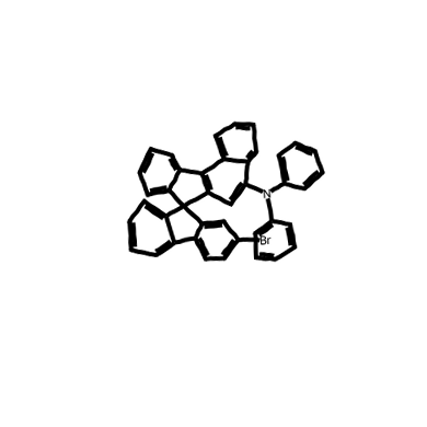 Brc1ccc2c(c1)C1(c3ccccc3-2)c2ccccc2-c2c1cc(N(c1ccccc1)c1ccccc1)c1ccccc21